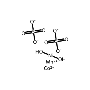 O=S(=O)([O-])[O-].O=S(=O)([O-])[O-].[Co+2].[Mn+2].[OH][Ni][OH]